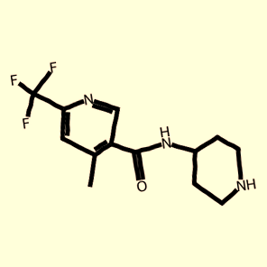 Cc1cc(C(F)(F)F)ncc1C(=O)NC1CCNCC1